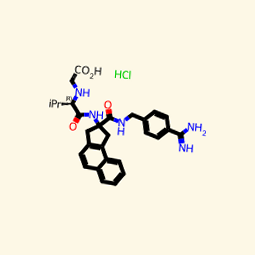 CC(C)[C@@H](NCC(=O)O)C(=O)NC1(C(=O)NCc2ccc(C(=N)N)cc2)Cc2ccc3ccccc3c2C1.Cl